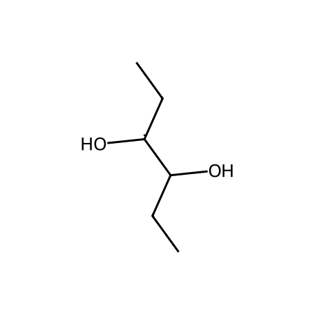 CC[C](O)C(O)CC